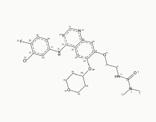 CN(C)C(=O)NCCOc1cc2ncnc(Nc3ccc(F)c(Cl)c3)c2cc1OC1CCOCC1